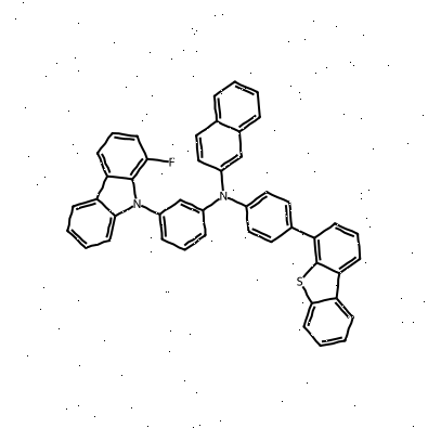 Fc1cccc2c3ccccc3n(-c3cccc(N(c4ccc(-c5cccc6c5sc5ccccc56)cc4)c4ccc5ccccc5c4)c3)c12